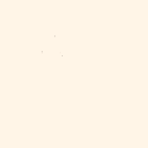 C1=CCC(C2NC(c3ccc(-c4ccc5ccccc5c4)cc3)NC(c3ccc4c(c3)oc3cccc(-c5ccccc5)c34)N2)C=C1